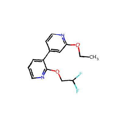 CCOc1cc(-c2cccnc2OCC(F)F)ccn1